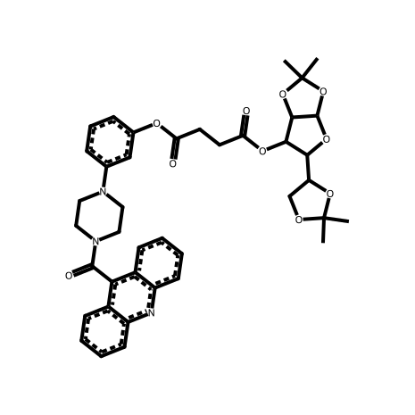 CC1(C)OCC(C2OC3OC(C)(C)OC3C2OC(=O)CCC(=O)Oc2cccc(N3CCN(C(=O)c4c5ccccc5nc5ccccc45)CC3)c2)O1